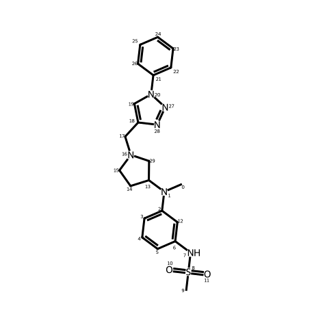 CN(c1cccc(NS(C)(=O)=O)c1)C1CCN(Cc2cn(-c3ccccc3)nn2)C1